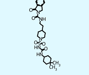 CC1(C)CCC(NC(=O)NS(=O)(=O)N2CCC(CCNC(=O)N3Cc4ccccc4C3=O)CC2)CC1